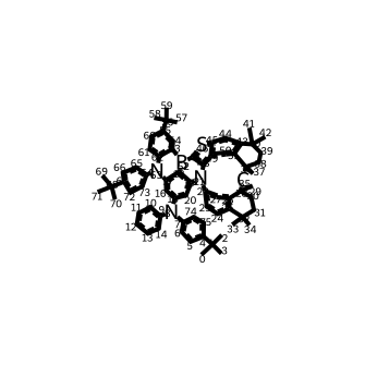 CC(C)(C)c1ccc(N(c2ccccc2)c2cc3c4c(c2)N2c5ccc6c(c5)C(C)(CCC6(C)C)CC5(C)CCC(C)(C)c6cc7sc(c2c7cc65)B4c2cc(C(C)(C)C)ccc2N3c2ccc(C(C)(C)C)cc2)cc1